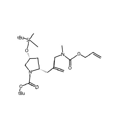 C=CCOC(=O)N(C)CC(=C)C[C@H]1C[C@@H](O[Si](C)(C)C(C)(C)C)CN1C(=O)OC(C)(C)C